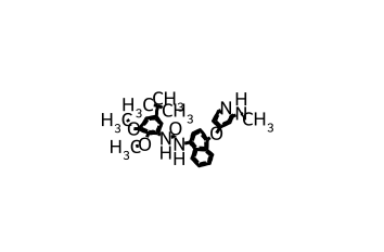 CNc1cc(Oc2ccc(NC(=O)Nc3cc(C(C)(C)C)cc(OC)c3OC)c3ccccc23)ccn1